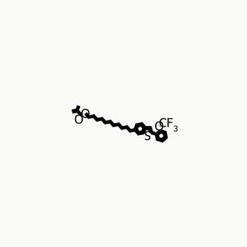 C=C(C)C(=O)OCCCCCCCCCCCc1ccc2cc(-c3ccccc3OC(F)(F)F)sc2c1